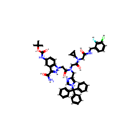 CC(C)(C)OC(=O)Nc1ccc2c(c1)c(C(N)=O)nn2CC(=O)N(CC(=O)N(CC(=O)NCc1cccc(Cl)c1F)C1CC1)Cc1cn(C(c2ccccc2)(c2ccccc2)c2ccccc2)cn1